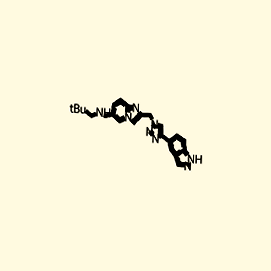 CC(C)(C)CNCc1ccc2nc(Cn3cc(-c4ccc5[nH]ncc5c4)nn3)cn2c1